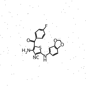 [C-]#[N+]c1c(Nc2ccc3c(c2)OCO3)sc(C(=O)c2ccc(F)cc2)c1N